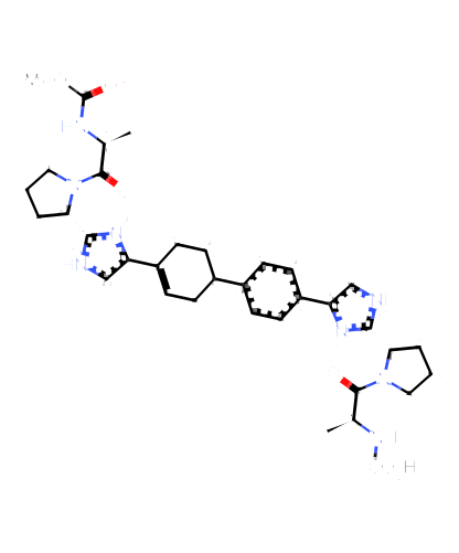 COC(=O)N[C@@H](C)C(=O)N1CCC[C@H]1c1nc(C2=CCC(c3ccc(-c4c[nH]c([C@@H]5CCCN5C(=O)[C@H](C)NC(=O)O)n4)cc3)CC2)c[nH]1